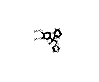 COc1ccc(C(O)(Cn2ccnc2)c2ccccc2)cc1OC